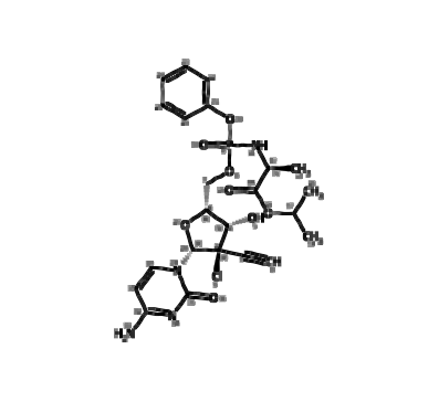 C#C[C@@]1(Cl)[C@@H](O)[C@@H](COP(=O)(N[C@@H](C)C(=O)OC(C)C)Oc2ccccc2)O[C@H]1n1ccc(N)nc1=O